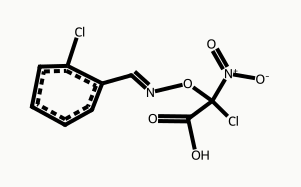 O=C(O)C(Cl)(ON=Cc1ccccc1Cl)[N+](=O)[O-]